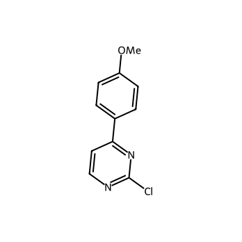 COc1ccc(-c2ccnc(Cl)n2)cc1